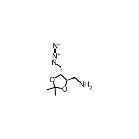 CC1(C)O[C@H](CN)[C@@H](CN=[N+]=[N-])O1